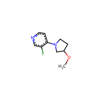 COC1CCN(c2ccncc2F)C1